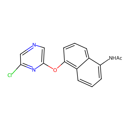 CC(=O)Nc1cccc2c(Oc3cncc(Cl)n3)cccc12